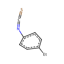 CCc1ccc(N=C=S)cc1